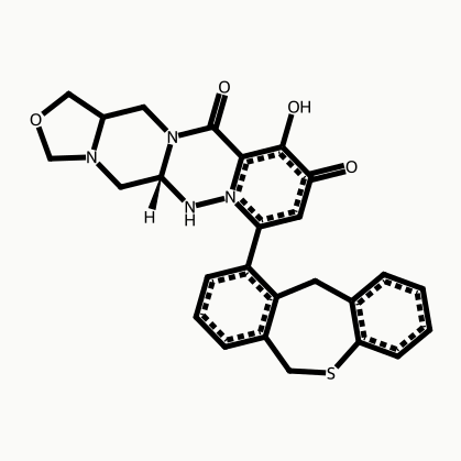 O=C1c2c(O)c(=O)cc(-c3cccc4c3Cc3ccccc3SC4)n2N[C@@H]2CN3COCC3CN12